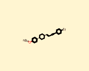 CCCCOc1ccc([C@H]2CC[C@H](/C=C/C#Cc3ccc(CC)cc3)CC2)cc1